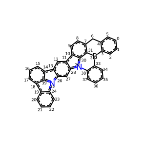 c1ccc2c(c1)Cc1ccc3c4cc5c6cccc7c8ccccc8n(c5cc4n4c3c1B2c1ccccc1-4)c76